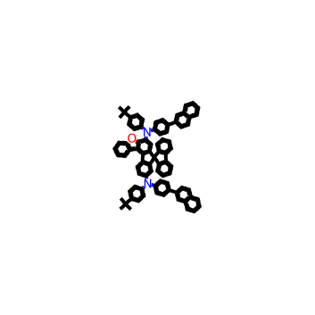 CC(C)(C)c1ccc(N(c2ccc(-c3ccc4ccccc4c3)cc2)c2ccc3c(c2)C2(c4ccccc4-c4ccccc42)c2cc(N(c4ccc(-c5ccc6ccccc6c5)cc4)c4ccc(C(C)(C)C)cc4)c4oc5ccccc5c4c2-3)cc1